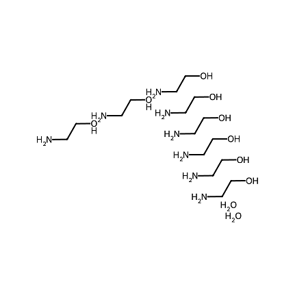 NCCO.NCCO.NCCO.NCCO.NCCO.NCCO.NCCO.NCCO.O.O